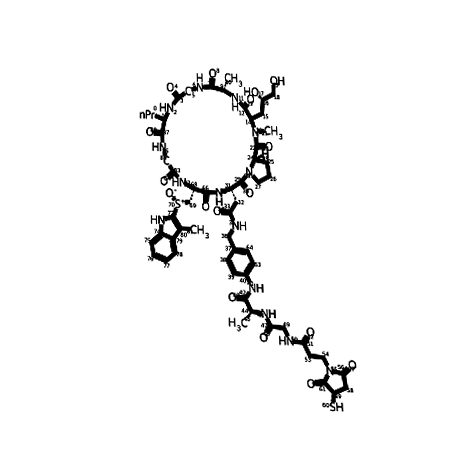 CCCC1NC(=O)CNC(=O)[C@H](C)NC(=O)C(C[C@@H](O)CO)N(C)C(=O)[C@@H]2CCCN2C(=O)[C@H](CC(=O)NCc2ccc(NC(=O)[C@H](C)NC(=O)CNC(=O)CCN3C(=O)CC(S)C3=O)cc2)NC(=O)[C@H](C[S+]([O-])c2[nH]c3ccccc3c2C)NC(=O)CNC1=O